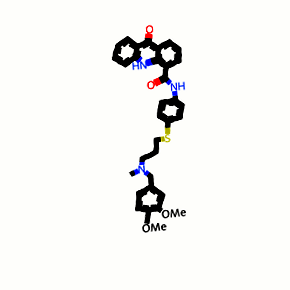 COc1ccc(CN(C)CCCSc2ccc(NC(=O)c3cccc4c(=O)c5ccccc5[nH]c34)cc2)cc1OC